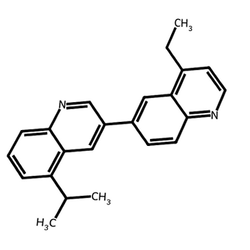 CCc1ccnc2ccc(-c3cnc4cccc(C(C)C)c4c3)cc12